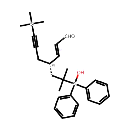 CC(C)(C[C@@H](/C=C/C=O)CC#C[Si](C)(C)C)[Si](O)(c1ccccc1)c1ccccc1